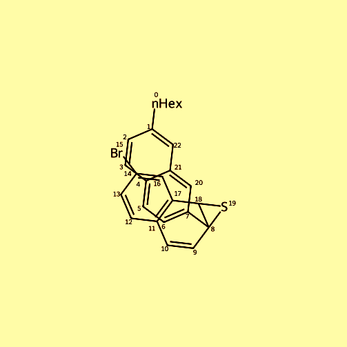 CCCCCCc1ccc2ccc(C34C=Cc5ccc(Br)cc5C3S4)cc2c1